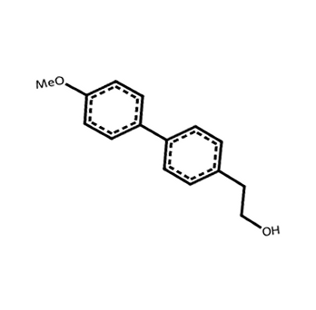 COc1ccc(-c2ccc(CCO)cc2)cc1